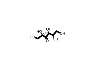 O=C([C@H](O)CO)[C@H](O)[C@@H](O)CO